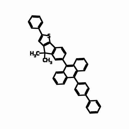 CC1(C)c2cc(-c3c4ccccc4c(-c4ccc(-c5ccccc5)cc4)c4ccccc34)ccc2-c2sc(-c3ccccc3)cc21